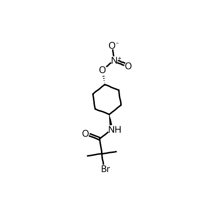 CC(C)(Br)C(=O)N[C@H]1CC[C@H](O[N+](=O)[O-])CC1